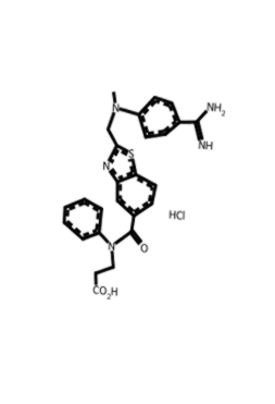 CN(Cc1nc2cc(C(=O)N(CCC(=O)O)c3ccccc3)ccc2s1)c1ccc(C(=N)N)cc1.Cl